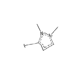 Cn1c(I)cc[n+]1C